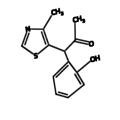 CC(=O)C(c1ccccc1O)c1scnc1C